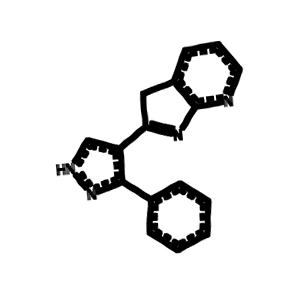 c1ccc(-c2n[nH]cc2C2=Nc3ncccc3C2)cc1